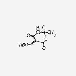 CCCCC=C1C(=O)OC(C)(C)OC1=O